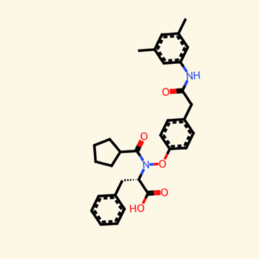 Cc1cc(C)cc(NC(=O)Cc2ccc(ON(C(=O)C3CCCC3)[C@@H](Cc3ccccc3)C(=O)O)cc2)c1